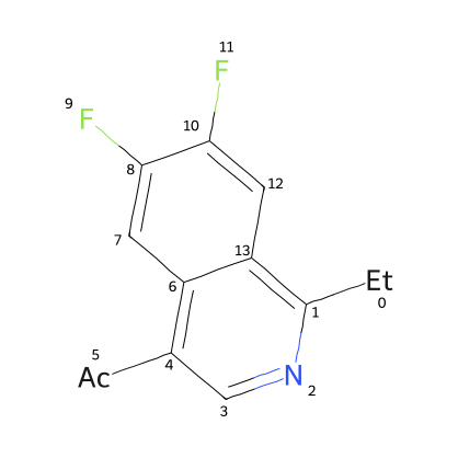 CCc1ncc(C(C)=O)c2cc(F)c(F)cc12